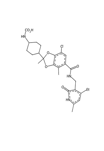 CCc1cc(C)[nH]c(=O)c1CNC(=O)c1cc(Cl)c2c(c1C)OC(C)(C1CCC(NC(=O)O)CC1)O2